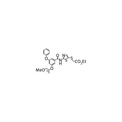 CCOC(=O)CSc1cnc(NC(=O)c2cc(Oc3ccccc3)cc(O[C@@H](C)COC)c2)s1